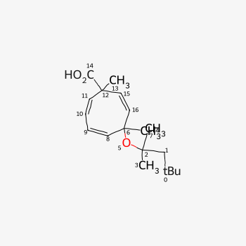 CC(C)(C)CC(C)(C)OC1(C)/C=C\C=C/C(C)(C(=O)O)/C=C\1